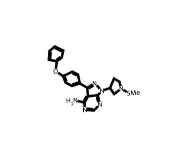 CSN1CCC(n2nc(-c3ccc(Oc4ccccc4)cc3)c3c(N)ncnc32)C1